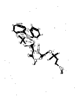 COCCC(C)(C)OC(=O)N[C@H](C(=O)OC)[C@@H](C)O[Si](c1ccccc1)(c1ccccc1)C(C)(C)C